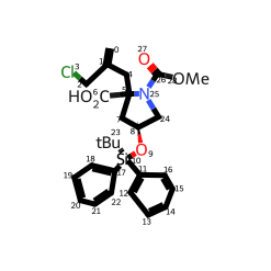 C=C(CCl)CC1(C(=O)O)C[C@H](O[Si](c2ccccc2)(c2ccccc2)C(C)(C)C)CN1C(=O)OC